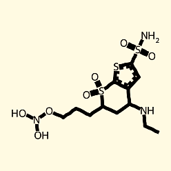 CCNC1CC(CCCON(O)O)S(=O)(=O)c2sc(S(N)(=O)=O)cc21